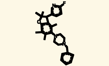 Cc1c(C)c(N2CCN(Cc3ccccc3)CC2)c(C)c2c1OC(C)(C)C2c1ccc(F)nc1